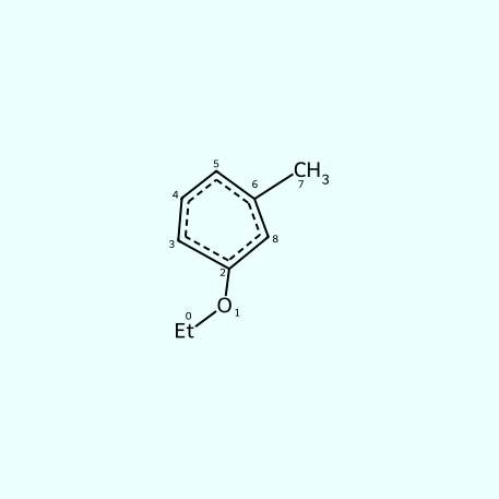 CCOc1cccc(C)c1